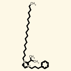 CCCCCCCCCCCCCCCCCCn1cc[n+](CCCc2ccccc2)c1C(C)C